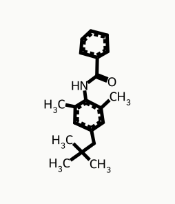 Cc1cc(CC(C)(C)C)cc(C)c1NC(=O)c1ccccc1